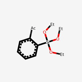 CCO[Si](OCC)(OCC)c1ccccc1C(C)=O